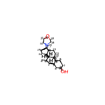 C[C@@H]1C=C2C[C@H](O)CC[C@]2(C)[C@H]2CC[C@]3(C)C(N4CCOCC4)=CC[C@H]3[C@H]12